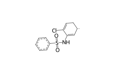 O=S(=O)(NC1=C[CH]CC=C1Cl)c1ccccc1